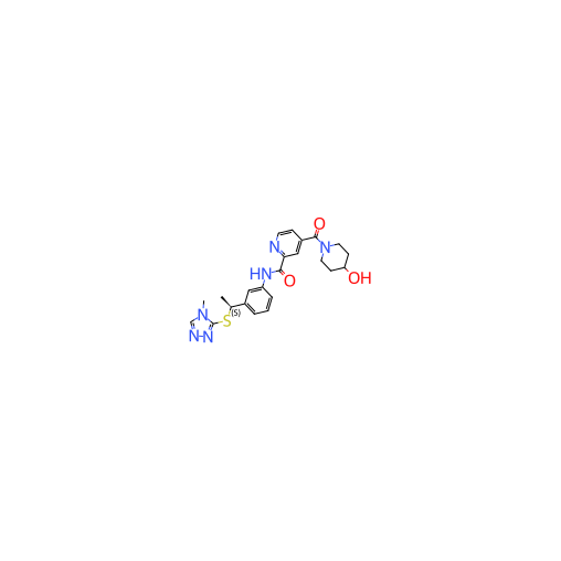 C[C@H](Sc1nncn1C)c1cccc(NC(=O)c2cc(C(=O)N3CCC(O)CC3)ccn2)c1